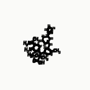 Cc1ccc(C(c2ccc(N(C)N)c(N)c2C)C(C)(C)C(=O)O)cc1CN1CCCC(n2cccn2)C1